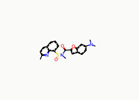 Cc1ccc2cccc([S+]([O-])N(C)C(=O)c3cc4ccc(N(C)C)cc4o3)c2n1